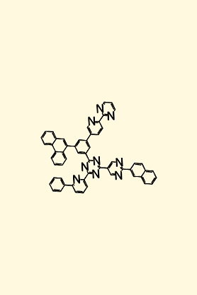 c1ccc(-c2cccc(-c3nc(-c4cnc(-c5ccc6ccccc6c5)nc4)nc(-c4cc(-c5ccc(-c6ncccn6)nc5)cc(-c5cc6ccccc6c6ccccc56)c4)n3)n2)cc1